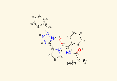 CCC(NC)C(=O)NC(C(=O)N1CCCC1c1nnn(Cc2ccccc2)n1)C1CCCCC1